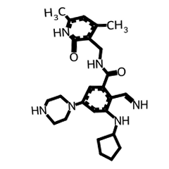 Cc1cc(C)c(CNC(=O)c2cc(N3CCNCC3)cc(NC3CCCC3)c2C=N)c(=O)[nH]1